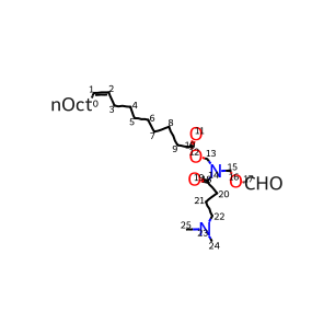 CCCCCCCC/C=C\CCCCCCCC(=O)OCN(COC=O)C(=O)CCCN(C)C